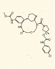 COC(=O)Nc1ccc2c(c1)NC(=O)CCCC[C@H](C(=O)N1CC[C@](C)(OC(=O)Nc3ccc(Cl)cc3)C1)C1=NCCC2(C)C1